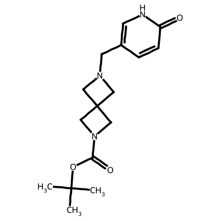 CC(C)(C)OC(=O)N1CC2(CN(Cc3ccc(=O)[nH]c3)C2)C1